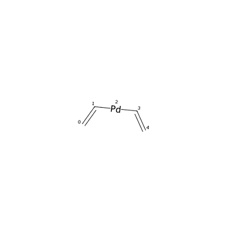 C=[CH][Pd][CH]=C